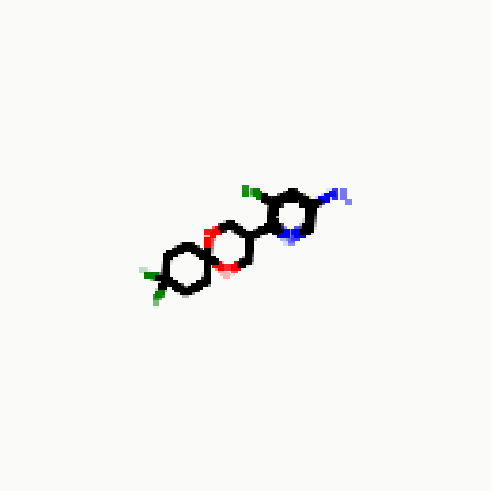 Nc1cnc(C2COC3(CCC(F)(F)CC3)OC2)c(Cl)c1